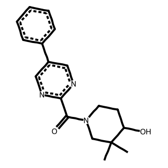 CC1(C)CN(C(=O)c2ncc(-c3ccccc3)cn2)CCC1O